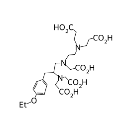 CCOc1ccc(CC(CN(CCN(CCC(=O)O)CCC(=O)O)CC(=O)O)N(CC(=O)O)CC(=O)O)cc1